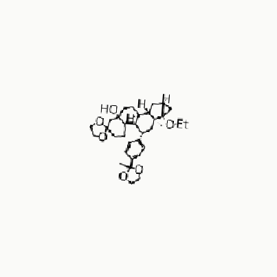 CCO[C@@]12C[C@@H]1C[C@H]1[C@@H]3CC[C@@]4(O)CC5(CCC4=C3[C@@H](c3ccc(C4(C)OCCO4)cc3)C[C@@]12C)OCCO5